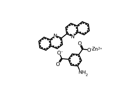 Nc1cc(C(=O)[O-])cc(C(=O)[O-])c1.[Zn+2].c1ccc2nc(-c3ccc4ccccc4n3)ccc2c1